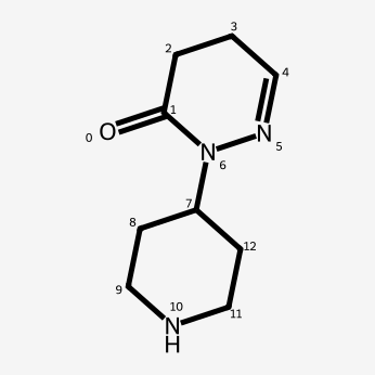 O=C1CCC=NN1C1CCNCC1